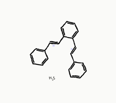 C(=C\c1ccccc1/C=C/c1ccccc1)/c1ccccc1.S